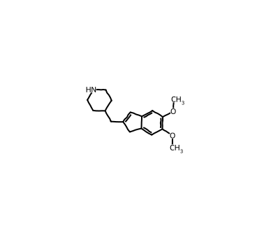 COc1cc2c(cc1OC)CC(CC1CCNCC1)=C2